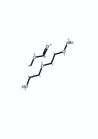 CCCCOCCOCCO.COC=O